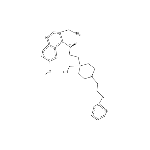 COc1ccc2ncc(CN)c([C@@H](F)CCC3(CO)CCN(CCSc4ccccn4)CC3)c2c1